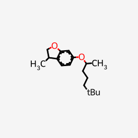 CC(CCCC(C)(C)C)Oc1ccc2c(c1)OCC2C